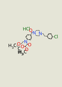 COC(=O)C(=O)N(CCOC(C)C)c1ccc(C(=O)N2CCN(CCc3ccc(Cl)cc3)CC2)cc1.Cl